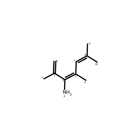 C=C(C)/C(N)=C(/C)C=C(C)C